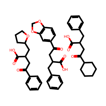 O=C(CC(CC1CCCO1)C(=O)O)c1ccccc1.O=C(CC(Cc1ccccc1)C(=O)O)c1ccc2c(c1)OCO2.O=C(O)C(CC(=O)C1CCCCC1)Cc1ccccc1